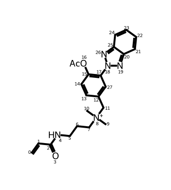 C=CC(=O)NCCC[N+](C)(C)Cc1ccc(OC(C)=O)c(-n2nc3ccccc3n2)c1